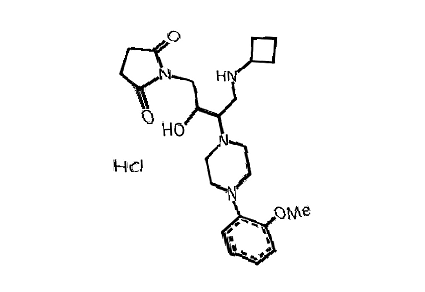 COc1ccccc1N1CCN(C(CNC2CCC2)C(O)CN2C(=O)CCC2=O)CC1.Cl